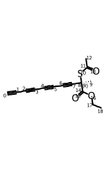 C#CC#CC#CC#C[C@@](C)(SC(C)=O)C(=O)OCC